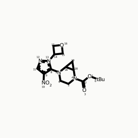 CC(C)(C)OC(=O)N1CCN(c2c([N+](=O)[O-])cnn2C2COC2)C2CC21